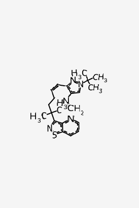 C=Nc1cn(C(C)(C)C)nc1/C=C\CCC(C)(C)c1nsc2cccnc12